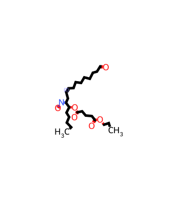 CCCCCC(OC(=O)CCCC(=O)OCCC)C(C/C=C\CCCCCCCC=O)N=O